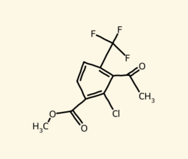 COC(=O)c1ccc(C(F)(F)F)c(C(C)=O)c1Cl